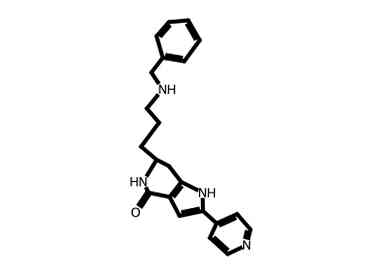 O=C1NC(CCCNCc2ccccc2)Cc2[nH]c(-c3ccncc3)cc21